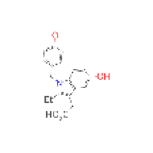 CCc1c(CC(=O)O)c2cc(O)ccc2n1Cc1ccc(O)cc1